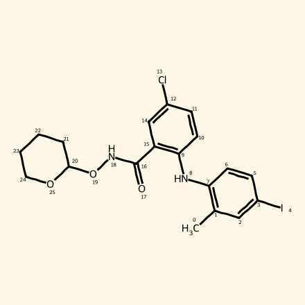 Cc1cc(I)ccc1Nc1ccc(Cl)cc1C(=O)NOC1CCCCO1